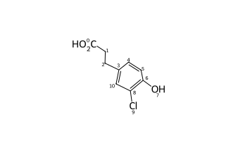 O=C(O)CCc1ccc(O)c(Cl)c1